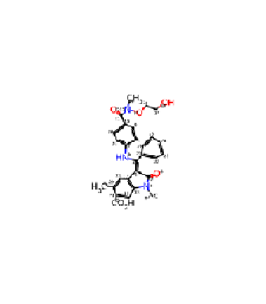 CC(=O)N1C(=O)/C(=C(/Nc2ccc(C(=O)N(C)OCCO)cc2)c2ccccc2)c2cc(C)c(C(=O)O)cc21